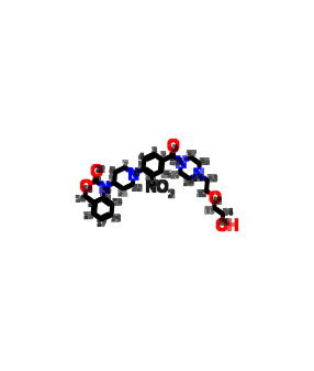 O=C(c1ccc(N2CCC(N3C(=O)OCc4ccccc43)CC2)c([N+](=O)[O-])c1)N1CCN(CCOCCO)CC1